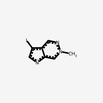 Cn1cc2ncc(I)c-2cn1